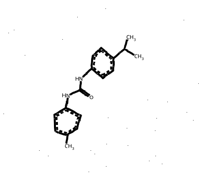 Cc1ccc(NC(=O)Nc2ccc(C(C)C)cc2)cc1